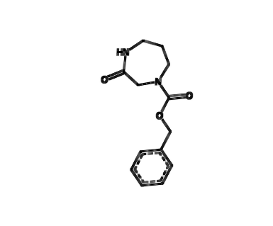 O=C1CN(C(=O)OCc2ccccc2)CCCN1